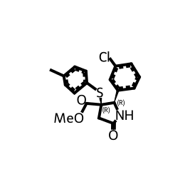 COC(=O)[C@@]1(Sc2ccc(C)cc2)CC(=O)N[C@@H]1c1cccc(Cl)c1